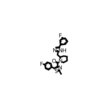 Cc1nc(C(=O)N2CCCCC2Cc2ncc(-c3cccc(F)c3)[nH]2)c(-c2ccc(F)cc2)s1